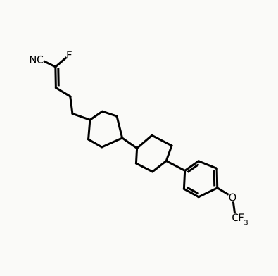 N#CC(F)=CCCC1CCC(C2CCC(c3ccc(OC(F)(F)F)cc3)CC2)CC1